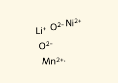 [Li+].[Mn+2].[Ni+2].[O-2].[O-2]